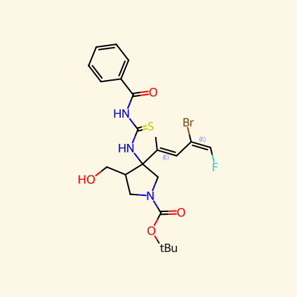 C/C(=C\C(Br)=C/F)C1(NC(=S)NC(=O)c2ccccc2)CN(C(=O)OC(C)(C)C)CC1CO